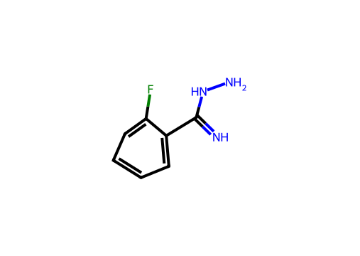 N=C(NN)c1ccccc1F